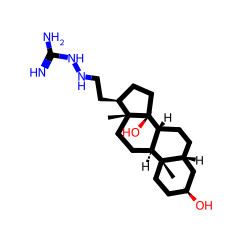 C[C@]12CC[C@H](O)C[C@H]1CC[C@@H]1[C@@H]2CC[C@]2(C)[C@@H](CCNNC(=N)N)CC[C@]12O